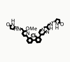 COc1nc(-c2cccc(-c3cccc(C4=CC5=NC=C(CNC[C@@H]6CCC(=O)N6)CN5C=C4)c3Cl)c2Cl)ccc1CNC[C@@H]1CCC(=O)N1